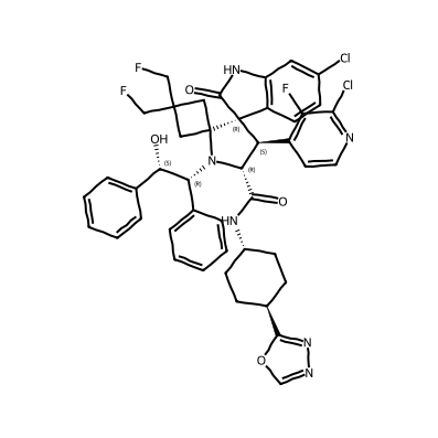 O=C(N[C@H]1CC[C@H](c2nnco2)CC1)[C@H]1[C@H](c2ccnc(Cl)c2F)[C@]2(C(=O)Nc3cc(Cl)ccc32)C2(CC(CF)(CF)C2)N1[C@H](c1ccccc1)[C@@H](O)c1ccccc1